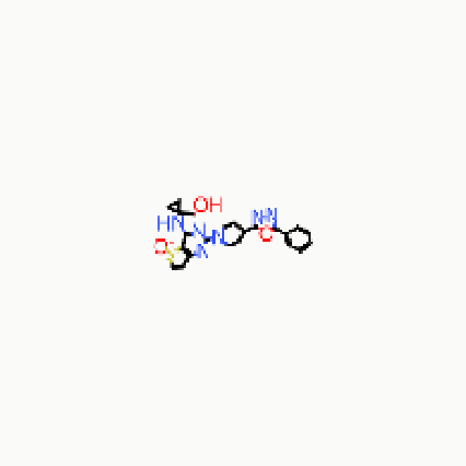 [O-][S+]1CCc2nc(N3CCC(c4nnc(-c5ccccc5)o4)CC3)nc(NC3(CO)CC3)c21